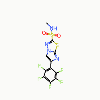 CNS(=O)(=O)c1nn2cc(-c3c(F)c(F)c(F)c(F)c3F)nc2s1